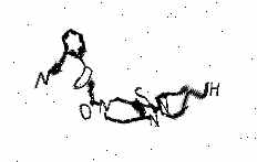 N#Cc1ccccc1OCC(=O)N1CCc2nc(N3C4CCC3CNC4)sc2C1